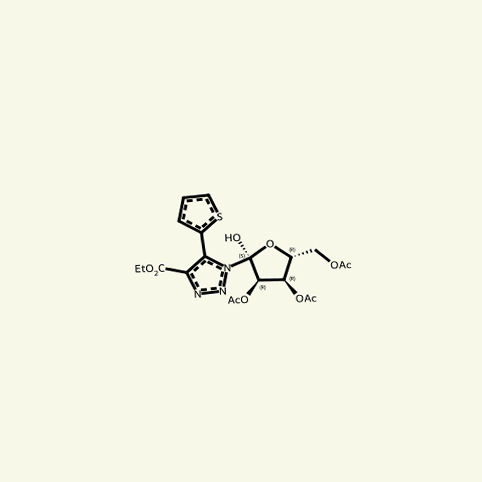 CCOC(=O)c1nnn([C@@]2(O)O[C@H](COC(C)=O)[C@@H](OC(C)=O)[C@H]2OC(C)=O)c1-c1cccs1